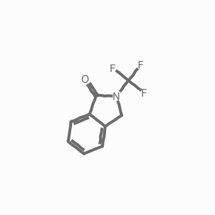 O=C1c2ccccc2CN1C(F)(F)F